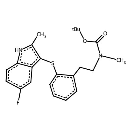 Cc1[nH]c2ccc(F)cc2c1Sc1ccccc1CCN(C)C(=O)OC(C)(C)C